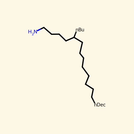 CCCCCCCCCCCCCCCCCCC(CCCC)CCCCN